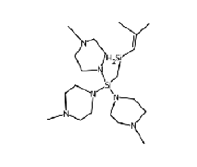 CC(C)=C[SiH2]C[Si](N1CCN(C)CC1)(N1CCN(C)CC1)N1CCN(C)CC1